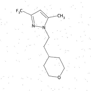 Cc1cc(C(F)(F)F)nn1CCC1CCOCC1